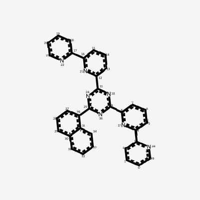 c1ccc(-c2cccc(-c3nc(-c4cccc(-c5ccccn5)n4)nc(-c4cccc5ccccc45)n3)n2)nc1